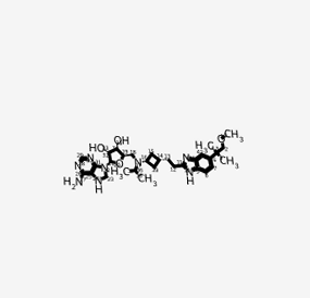 COCC(C)(C)c1ccc2[nH]c(CC[C@H]3C[C@@H](N(C[C@H]4O[C@@H](N5CNc6c(N)ncnc65)[C@H](O)[C@@H]4O)C(C)C)C3)nc2c1